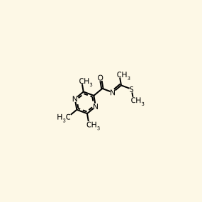 CS/C(C)=N/C(=O)c1nc(C)c(C)nc1C